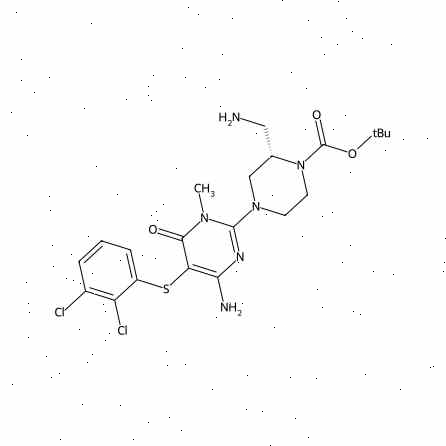 Cn1c(N2CCN(C(=O)OC(C)(C)C)[C@@H](CN)C2)nc(N)c(Sc2cccc(Cl)c2Cl)c1=O